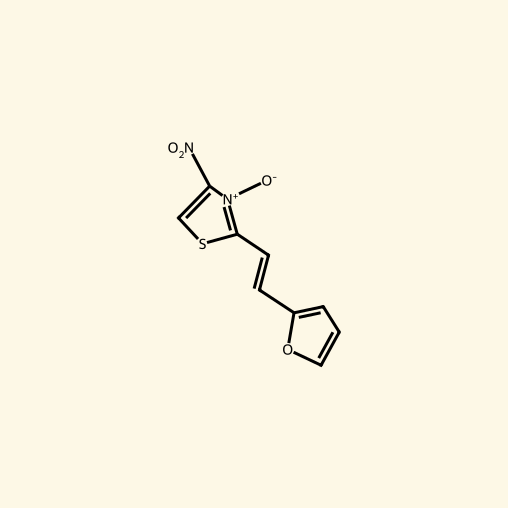 O=[N+]([O-])c1csc(C=Cc2ccco2)[n+]1[O-]